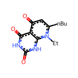 CCCCc1cc(=O)c2c(=O)[nH]c(=O)[nH]c2n1CC